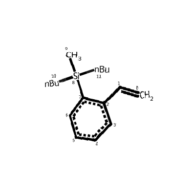 C=Cc1ccccc1[Si](C)(CCCC)CCCC